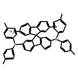 Bc1ccc2c(c1)C1(c3cc(Br)ccc3-2)c2cc(N(c3ccc(C)cc3)c3ccc(C)cc3)ccc2-c2ccc(N(c3ccc(C)cc3)c3ccc(C)cc3)cc21